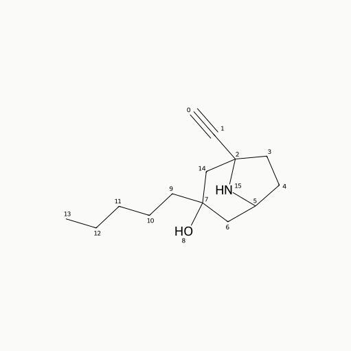 C#CC12CCC(CC(O)(CCCCC)C1)N2